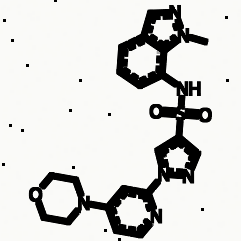 Cn1ncc2cccc(NS(=O)(=O)c3cnn(-c4cc(N5CCOCC5)ccn4)c3)c21